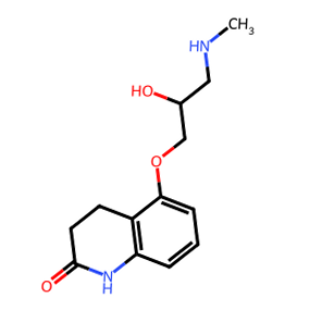 CNCC(O)COc1cccc2c1CCC(=O)N2